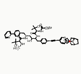 COC(=O)NC(C(=O)NC(Cc1ccc(C#Cc2ccc(N3CC4CCC(C3)N4C3COC3)nc2)cc1)C(O)CN(Cc1ccc(-c2ccccn2)cc1Cl)NC(=O)C(NC(=O)O)C(C)(C)C(F)(F)F)C(C)(C)C(F)(F)F